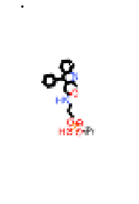 Cc1nc2ccccc2c(-c2ccccc2)c1CC(=O)NCCCOP(=O)(O)OC(C)C